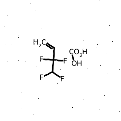 C=CC(F)(F)C(F)F.O=C(O)O